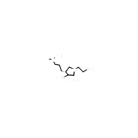 NCCN1C[C@H](CCCB(O)O)[C@@](N)(C(=O)O)C1